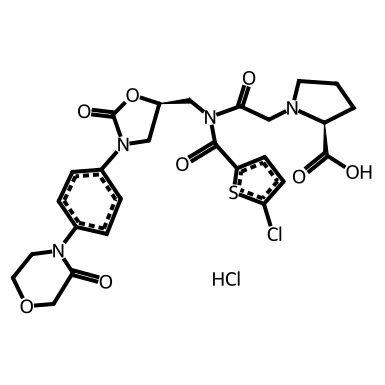 Cl.O=C(O)[C@@H]1CCCN1CC(=O)N(C[C@H]1CN(c2ccc(N3CCOCC3=O)cc2)C(=O)O1)C(=O)c1ccc(Cl)s1